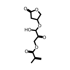 C=C(C)C(=O)OCC(=O)C(O)OC1COC(=O)C1